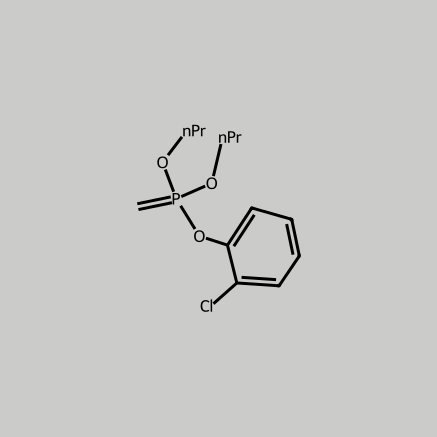 C=P(OCCC)(OCCC)Oc1ccccc1Cl